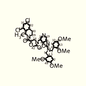 COc1ccc(CN(Cc2ccc(OC)cc2OC)c2nc3cncc(N4CC(C(=O)N5CCc6cc(Cl)cc(Cl)c6[C@@H]5C)OCC4=O)c3o2)c(OC)c1